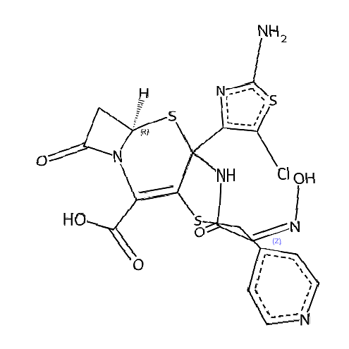 Nc1nc(C2(NC(=O)/C=N\O)S[C@@H]3CC(=O)N3C(C(=O)O)=C2SCc2ccncc2)c(Cl)s1